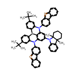 CC(C)(C)c1ccc2c(c1)N(c1ccc3c(c1)sc1ccccc13)c1cc(N3c4ccccc4C4(C)CCCCC34C)cc3c1B2c1ccc(C(C)(C)C)cc1N3c1ccc2c(c1)sc1ccccc12